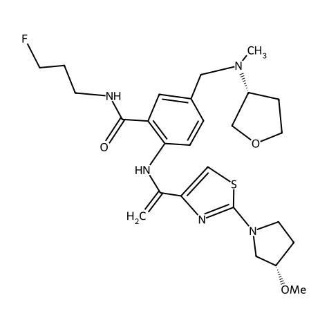 C=C(Nc1ccc(CN(C)[C@@H]2CCOC2)cc1C(=O)NCCCF)c1csc(N2CC[C@H](OC)C2)n1